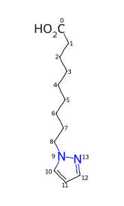 O=C(O)CCCCCCCCn1cccn1